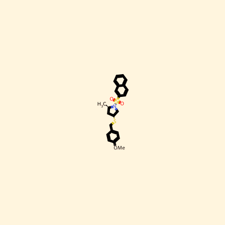 COc1ccc(CS[C@@H]2C[C@H](C)N(S(=O)(=O)c3ccc4ccccc4c3)C2)cc1